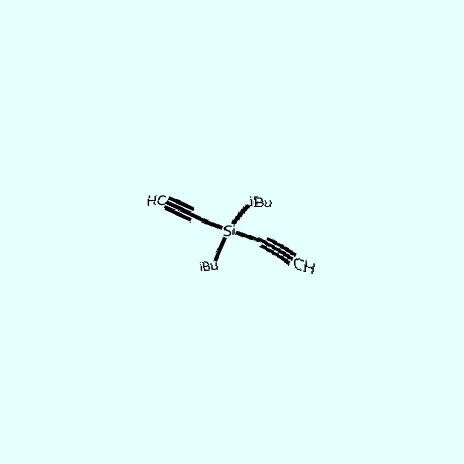 C#C[Si](C#C)(C(C)CC)C(C)CC